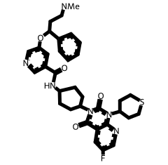 CNCCC(Oc1cncc(C(=O)NC2CCC(n3c(=O)c4cc(F)cnc4n(C4CCSCC4)c3=O)CC2)c1)c1ccccc1